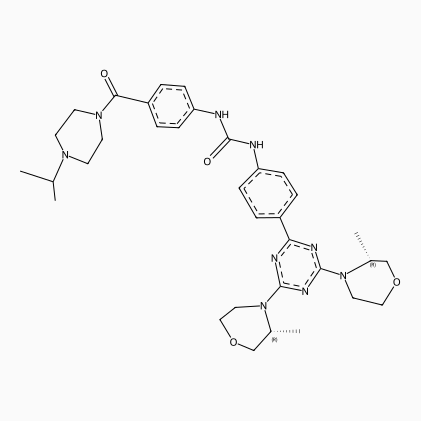 CC(C)N1CCN(C(=O)c2ccc(NC(=O)Nc3ccc(-c4nc(N5CCOC[C@H]5C)nc(N5CCOC[C@H]5C)n4)cc3)cc2)CC1